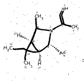 CC(=N)N1C(C)[C@H]2[C@@H]([C@H]1C(C)=O)C2(C)C